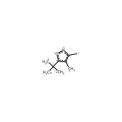 Cc1c(I)noc1C(C)(C)C